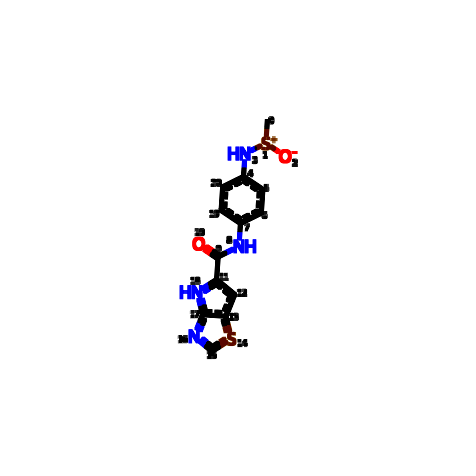 C[S+]([O-])Nc1ccc(NC(=O)c2cc3scnc3[nH]2)cc1